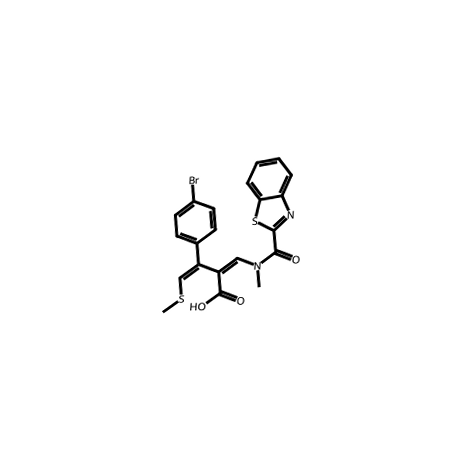 CS/C=C(\C(=C\N(C)C(=O)c1nc2ccccc2s1)C(=O)O)c1ccc(Br)cc1